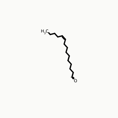 CCCC/C=C\CCCCCCCC[C]=O